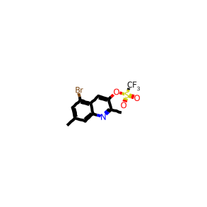 Cc1cc(Br)c2cc(OS(=O)(=O)C(F)(F)F)c(C)nc2c1